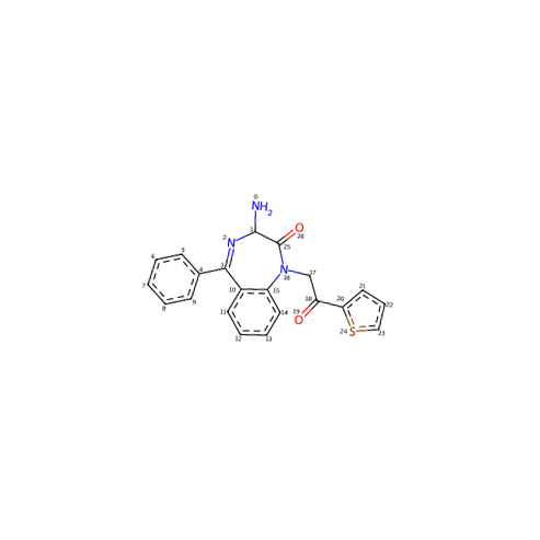 NC1N=C(c2ccccc2)c2ccccc2N(CC(=O)c2cccs2)C1=O